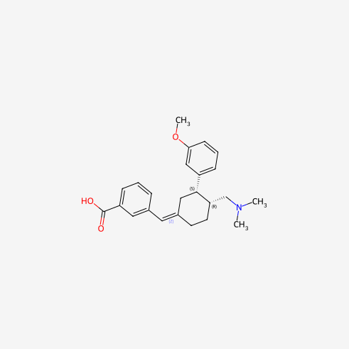 COc1cccc([C@H]2C/C(=C\c3cccc(C(=O)O)c3)CC[C@H]2CN(C)C)c1